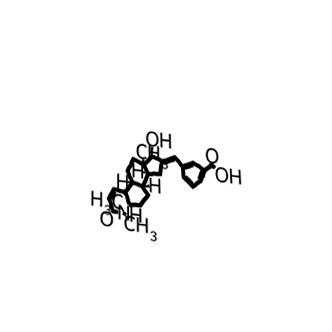 CN1C(=O)C=C[C@]2(C)[C@H]3CC[C@]4(C)[C@@H](O)C(=Cc5cccc(C(=O)O)c5)C[C@H]4[C@@H]3CC[C@@H]12